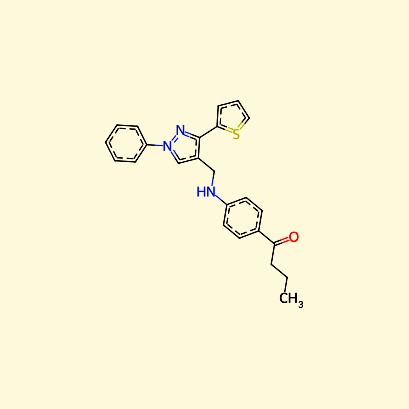 CCCC(=O)c1ccc(NCc2cn(-c3ccccc3)nc2-c2cccs2)cc1